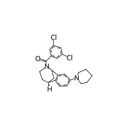 O=C(c1cc(Cl)cc(Cl)c1)N1CC[C@@H]2CC1c1cc(N3CCCCC3)ccc12